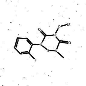 CCON1C(=O)N(C)SN(c2ccccc2F)C1=O